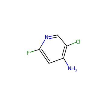 Nc1cc(F)ncc1Cl